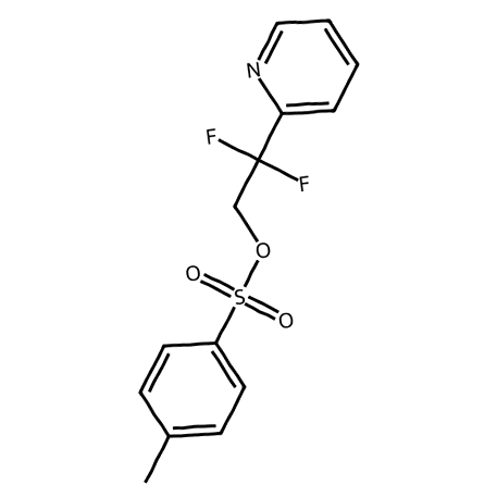 Cc1ccc(S(=O)(=O)OCC(F)(F)c2ccccn2)cc1